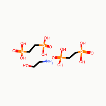 NCCO.O=P(O)(O)CCP(=O)(O)O.O=P(O)(O)CCP(=O)(O)O